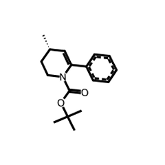 C[C@@H]1C=C(c2ccccc2)N(C(=O)OC(C)(C)C)CC1